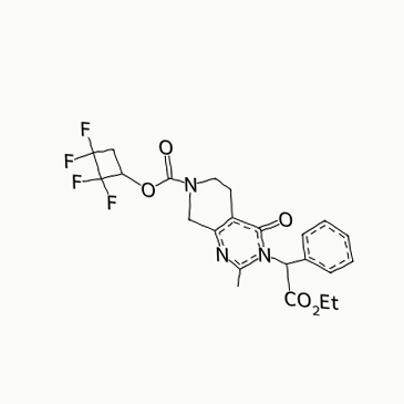 CCOC(=O)C(c1ccccc1)n1c(C)nc2c(c1=O)CCN(C(=O)OC1CC(F)(F)C1(F)F)C2